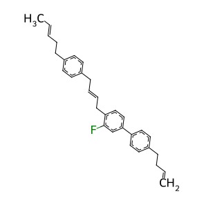 C=CCCc1ccc(-c2ccc(C/C=C/Cc3ccc(CC/C=C/C)cc3)c(F)c2)cc1